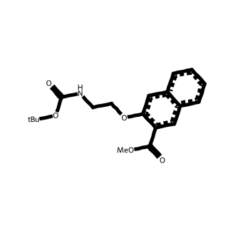 COC(=O)c1cc2ccccc2cc1OCCNC(=O)OC(C)(C)C